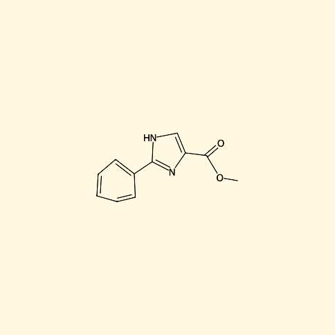 COC(=O)c1c[nH]c(-c2ccccc2)n1